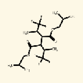 CC(C)COC(=O)C(C(C(=O)OCC(C)C)C(C)C(F)(F)F)C(C)C(F)(F)F